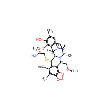 CC(=O)Oc1c(C)c2c(c3c1[C@@H](SC[C@@H](C)N)C1[C@@H]4c5c(cc(C)c(O)c5O)C[C@H]([C@H](C#N)N1[C@H]3COC=O)N4C)OCO2